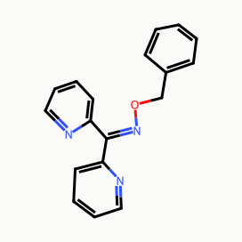 c1ccc(CON=C(c2ccccn2)c2ccccn2)cc1